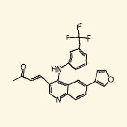 CC(=O)/C=C/c1cnc2ccc(-c3ccoc3)cc2c1Nc1cccc(C(F)(F)F)c1